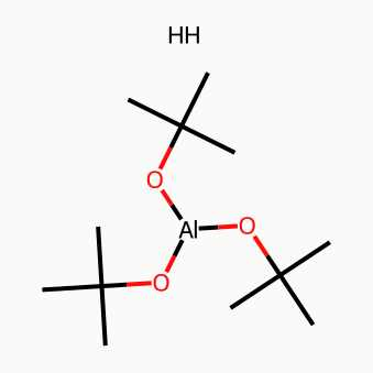 CC(C)(C)[O][Al]([O]C(C)(C)C)[O]C(C)(C)C.[HH]